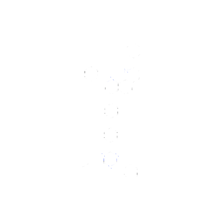 C1=CC(c2nc(-c3ccccc3)nc(-c3ccc(-c4ccc(-c5cc(-c6ccccc6)nc6c5ccc5ccc(-c7ccccc7)nc56)cc4)cc3)n2)=CCC1